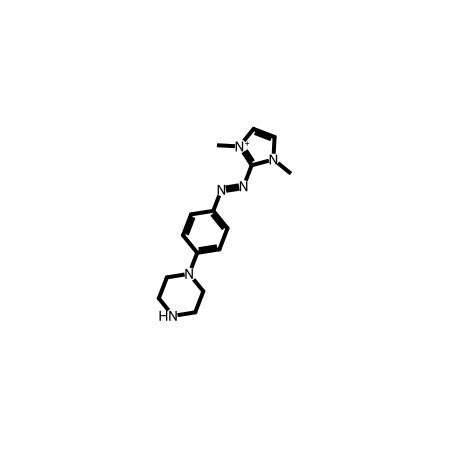 Cn1cc[n+](C)c1N=Nc1ccc(N2CCNCC2)cc1